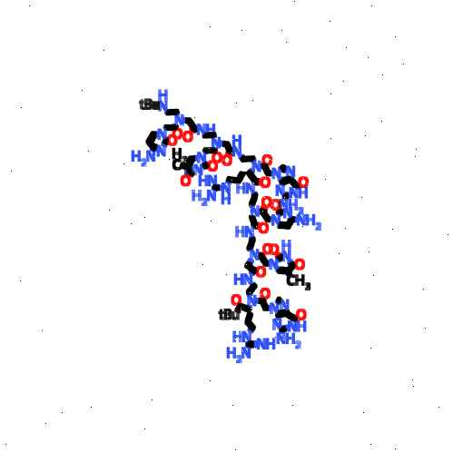 Cc1cn(CC(=O)N(CCNC(=O)CN(CCNC(C)(C)C)C(=O)Cn2ccc(N)nc2=O)CC(=O)NCCN(C(=O)Cn2cnc3c(=O)[nH]c(N)nc32)[C@@H](CCCNC(=N)N)C(=O)NCCN(CC(=O)NCCN(CC(=O)NCCN(C(=O)Cn2cnc3c(=O)[nH]c(N)nc32)[C@@H](CCCNC(=N)N)C(=O)C(C)(C)C)C(=O)Cn2cc(C)c(=O)[nH]c2=O)C(=O)Cn2ccc(N)nc2=O)c(=O)[nH]c1=O